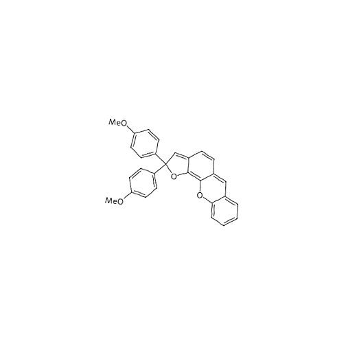 COc1ccc(C2(c3ccc(OC)cc3)C=c3ccc4c(c3O2)Oc2ccccc2C=4)cc1